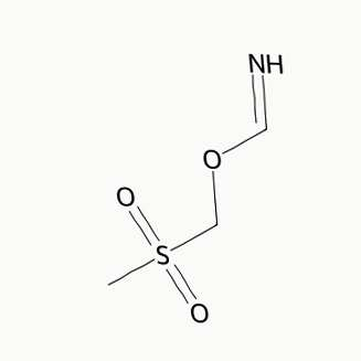 CS(=O)(=O)COC=N